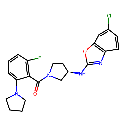 O=C(c1c(F)cccc1N1CCCC1)N1CC[C@@H](Nc2nc3ccc(Cl)cc3o2)C1